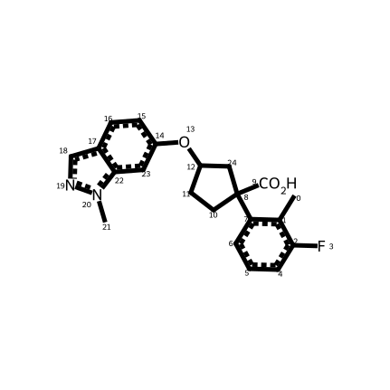 Cc1c(F)cccc1C1(C(=O)O)CCC(Oc2ccc3cnn(C)c3c2)C1